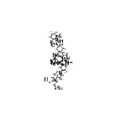 CCC(C)CCN(C)C1CCN(c2ccc(Nc3nccc(-c4c(-c5cccc(C(=O)Nc6c(F)cccc6F)c5)nc5ccccn45)n3)c(OC)c2)CC1